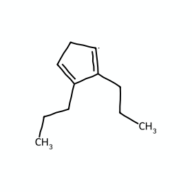 CCCC1=[C]CC=C1CCC